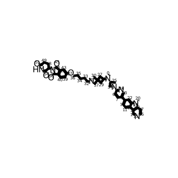 CN(C1CN(c2ccc(-c3ccc4c5cnccc5n(C)c4c3)cn2)C1)C1CC2(C1)CN(CCCCCOc1ccc3c(c1)C(=O)N(C1CCC(=O)NC1=O)C3=O)C2